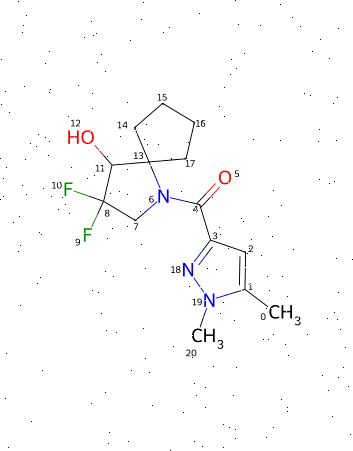 Cc1cc(C(=O)N2CC(F)(F)C(O)C23CCCC3)nn1C